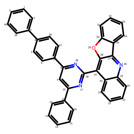 c1ccc(-c2ccc(-c3cc(-c4ccccc4)nc(-c4c5ccccc5nc5c4oc4ccccc45)n3)cc2)cc1